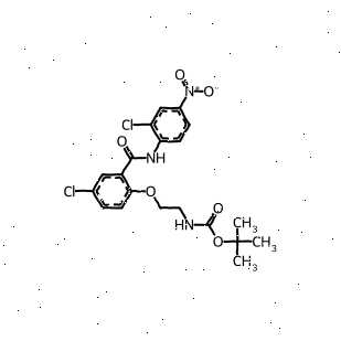 CC(C)(C)OC(=O)NCCOc1ccc(Cl)cc1C(=O)Nc1ccc([N+](=O)[O-])cc1Cl